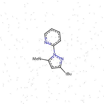 CNc1cc(C(C)(C)C)nn1-c1ccccn1